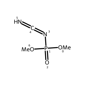 COP(=O)(N=C=N)OC